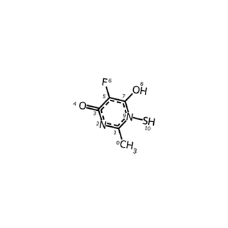 Cc1nc(=O)c(F)c(O)n1S